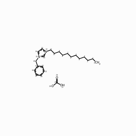 CCCCCCCCCCCCn1cc[n+](Cc2ccccc2)c1.O=C([O-])O